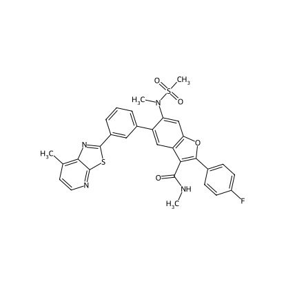 CNC(=O)c1c(-c2ccc(F)cc2)oc2cc(N(C)S(C)(=O)=O)c(-c3cccc(-c4nc5c(C)ccnc5s4)c3)cc12